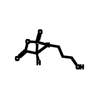 O=C1OP2(=O)[C@@H]1N2CCCO